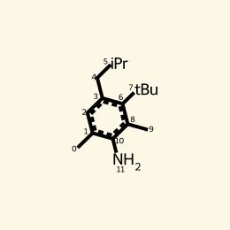 Cc1cc(CC(C)C)c(C(C)(C)C)c(C)c1N